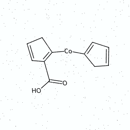 O=C(O)C1=[C]([Co][C]2=CC=CC2)CC=C1